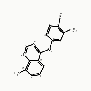 Cc1cc(Oc2ncnc3c(N)cccc23)ccc1F